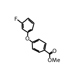 COC(=O)c1ccc(Oc2cccc(F)c2)cc1